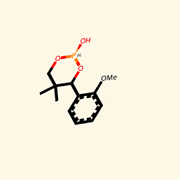 COc1ccccc1C1O[P@](O)OCC1(C)C